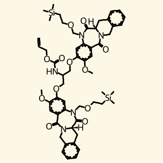 C=CCOC(=O)NC(COc1cc2c(cc1OC)C(=O)N1Cc3ccccc3C[C@H]1C(=O)N2COCC[Si](C)(C)C)COc1cc2c(cc1OC)C(=O)N1Cc3ccccc3C[C@H]1C(=O)N2COCC[Si](C)(C)C